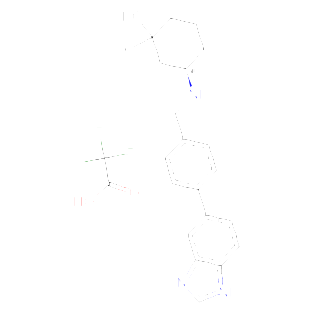 CC1(C)CCC[C@@H](NCc2ccc(-c3ccc4[nH]cnc4c3)cc2)C1.O=C(O)C(F)(F)F